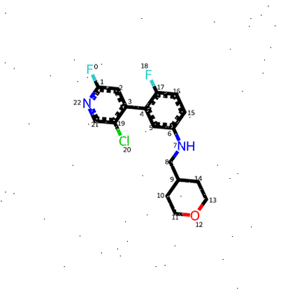 Fc1cc(-c2cc(NCC3CCOCC3)ccc2F)c(Cl)cn1